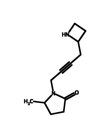 CC1CCC(=O)N1CC#CCC1CCN1